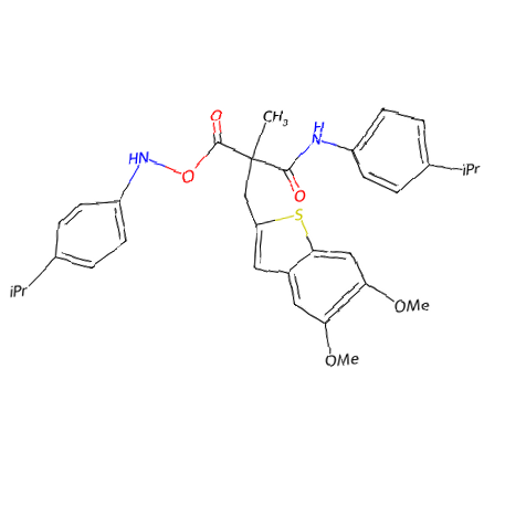 COc1cc2cc(CC(C)(C(=O)Nc3ccc(C(C)C)cc3)C(=O)ONc3ccc(C(C)C)cc3)sc2cc1OC